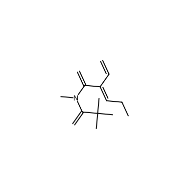 C=C/C(=C\CC)C(=C)N(C)C(=C)C(C)(C)C